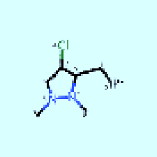 CC(C)CC1C(Cl)CN(C)N1C